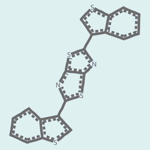 c1ccc2c(-c3nc4sc(-c5csc6ccccc56)nc4s3)csc2c1